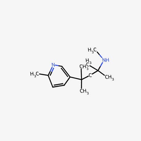 CNC(C)(C)CC(C)(C)c1ccc(C)nc1